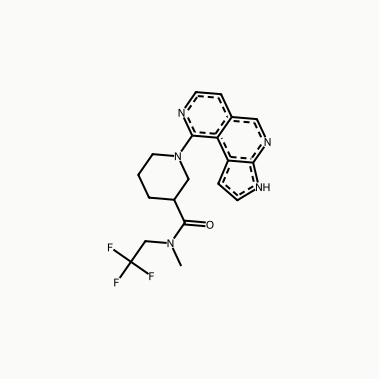 CN(CC(F)(F)F)C(=O)C1CCCN(c2nccc3cnc4[nH]ccc4c23)C1